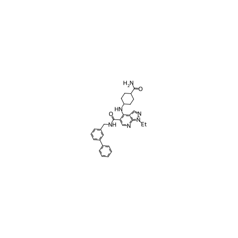 CCn1ncc2c(NC3CCC(C(N)=O)CC3)c(C(=O)NCc3cccc(-c4ccccc4)c3)cnc21